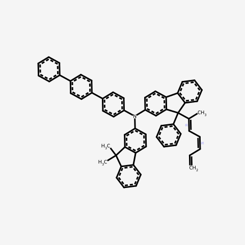 C=C/C=C\C=C(/C)C1(c2ccccc2)c2ccccc2-c2ccc(N(c3ccc(-c4ccc(-c5ccccc5)cc4)cc3)c3ccc4c(c3)C(C)(C)c3ccccc3-4)cc21